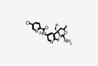 CC1OC(N)=N[C@@](CF)(c2cc(NC(=O)c3ccc(Cl)cn3)cnc2F)[C@@H]1C